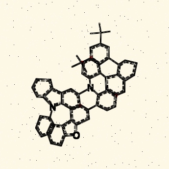 CC(C)(C)c1cc(-c2cccc3cccc(-c4ccccc4N(c4ccc5c(c4)c4ccccc4n5-c4ccccc4)c4ccccc4-c4ccc5c(c4)oc4ccccc45)c23)cc(C(C)(C)C)c1